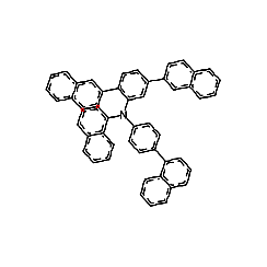 c1ccc2cc(-c3ccc(-c4ccc5ccccc5c4)c(N(c4ccc(-c5cccc6ccccc56)cc4)c4cccc5ccccc45)c3)ccc2c1